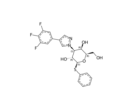 OC[C@H]1O[C@@H](Sc2ccccc2)[C@H](O)[C@@H](n2cc(-c3cc(F)c(F)c(F)c3)cn2)[C@H]1O